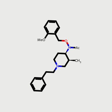 COc1ccccc1CON(C(C)=O)[C@@H]1CCN(CCc2ccccc2)C[C@@H]1C